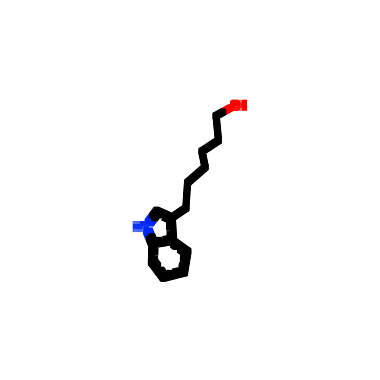 OCCCCCCc1c[nH]c2ccccc12